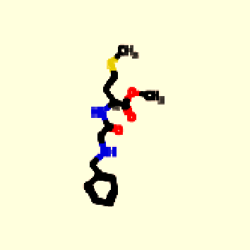 COC(=O)[C@H](CCSC)NC(=O)CNCc1ccccc1